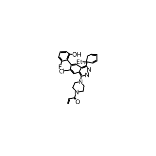 C=CC(=O)N1CCN(c2nnc([C@@]3(CC)C=CC=CC3)c3cc(-c4c(O)cccc4F)c(Cl)cc23)CC1